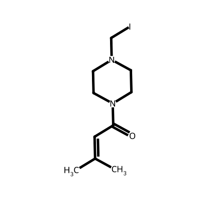 CC(C)=CC(=O)N1CCN(CI)CC1